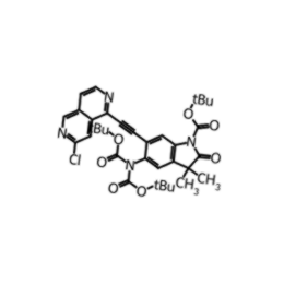 CC(C)(C)OC(=O)N(C(=O)OC(C)(C)C)c1cc2c(cc1C#Cc1nccc3cnc(Cl)cc13)N(C(=O)OC(C)(C)C)C(=O)C2(C)C